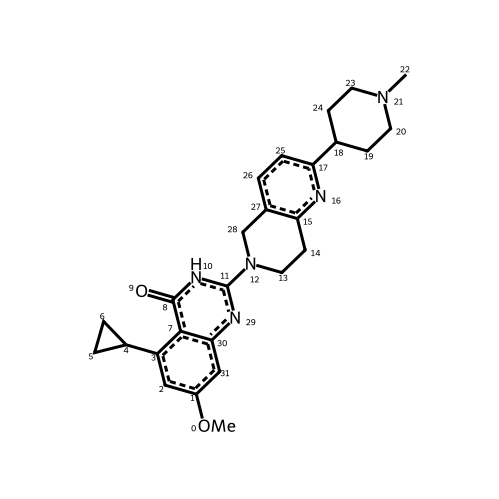 COc1cc(C2CC2)c2c(=O)[nH]c(N3CCc4nc(C5CCN(C)CC5)ccc4C3)nc2c1